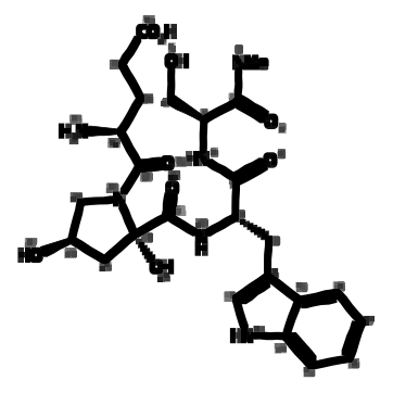 CNC(=O)[C@H](CO)NC(=O)[C@H](Cc1c[nH]c2ccccc12)NC(=O)[C@@]1(O)C[C@@H](O)CN1C(=O)[C@@H](N)CCC(=O)O